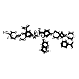 CC(C)c1ccccc1[C@H]1COCCN1C1CC2(CCN(c3ccc(C(=O)NS(=O)(=O)c4cc5c(c([N+](=O)[O-])c4)S[C@@H]([C@H]4CC[C@](C)(O)CC4)CO5)c(Oc4cnc5[nH]ccc5c4)c3)CC2)C1